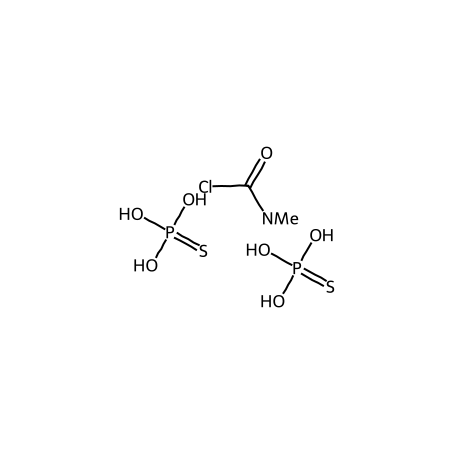 CNC(=O)Cl.OP(O)(O)=S.OP(O)(O)=S